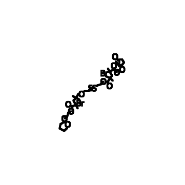 CC(C)(COCCSSCCOC(=O)C(C)(C)CC(C)(Br)C(=O)ON1C(=O)CCC1=O)CC(C)(Br)C(=O)OCCOC1CCCCO1